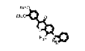 COc1ccc(C2COc3c(ccc(-n4nnc5ccccc54)c3C)C2=O)cc1OC